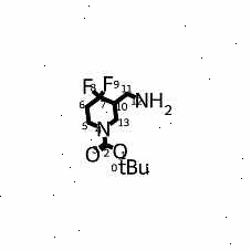 CC(C)(C)OC(=O)N1CCC(F)(F)C(CN)C1